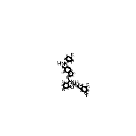 C[C@H]1C2=CNN(c3ccc(F)cc3)C2=CC2=C1[C@@H](CC(NC(=O)NCc1cc(F)cc(F)c1)c1ccccc1)CC2